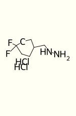 Cl.Cl.NNCC1CCC(F)(F)CC1